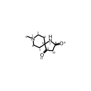 CN1CCC2(CC1)NC(=O)CC2=O